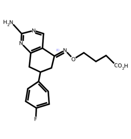 Nc1ncc2c(n1)CC(c1ccc(F)cc1)C/C2=N\OCCCC(=O)O